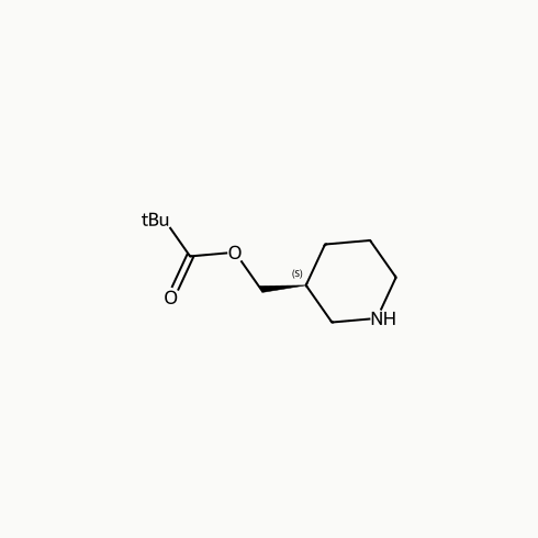 CC(C)(C)C(=O)OC[C@H]1CCCNC1